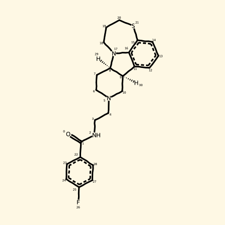 O=C(NCCN1CC[C@@H]2[C@H](C1)c1cccc3c1N2CCCS3)c1ccc(F)cc1